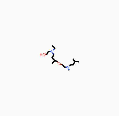 CCN(CCO)CCC(C)COCCN(C)CCC(C)C